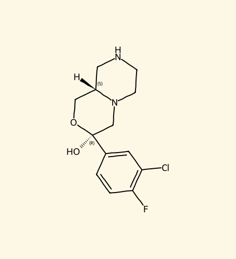 O[C@@]1(c2ccc(F)c(Cl)c2)CN2CCNC[C@H]2CO1